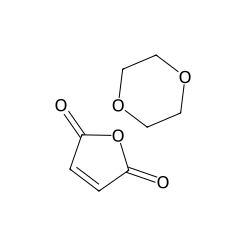 C1COCCO1.O=C1C=CC(=O)O1